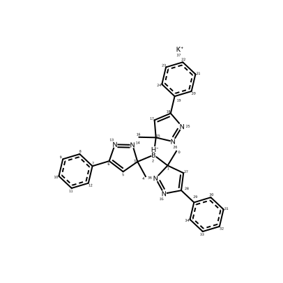 CC1([BH-](C2(C)C=C(c3ccccc3)N=N2)C2(C)C=C(c3ccccc3)N=N2)C=C(c2ccccc2)N=N1.[K+]